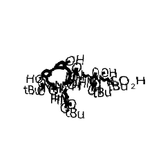 CC(C)(C)OC(=O)NCCC[C@@H]1NC(=O)[C@@H](NC(=O)OC(C)(C)C)Cc2cc(ccc2O)-c2ccc(O)c(c2)C[C@@H](C(=O)NCCC[C@H](NC(=O)OC(C)(C)C)C(=O)N[C@H](CO)CCN(C(=O)O)C(C)(C)C)NC1=O